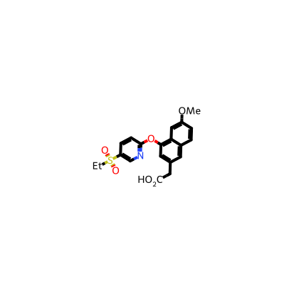 CCS(=O)(=O)c1ccc(Oc2cc(CC(=O)O)cc3ccc(OC)cc23)nc1